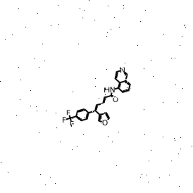 O=C(C=CC=C(c1ccc(C(F)(F)F)cc1)c1ccoc1)Nc1cccc2cnccc12